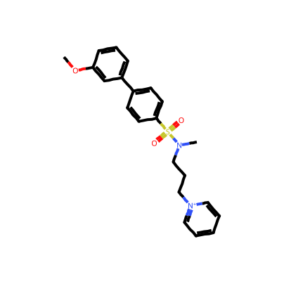 COc1cccc(-c2ccc(S(=O)(=O)N(C)CCC[n+]3ccccc3)cc2)c1